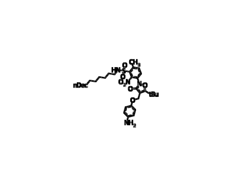 CCCCCCCCCCCCCCCCNS(=O)(=O)c1c(C)ccc(-n2oc(C(C)(C)C)c(COc3ccc(N)cc3)c2=O)c1[N+](=O)[O-]